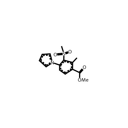 COC(=O)c1ccc(-n2cccc2)c(S(C)(=O)=O)c1C